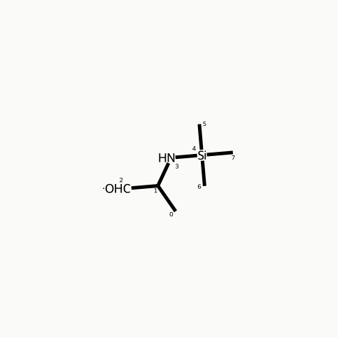 CC([C]=O)N[Si](C)(C)C